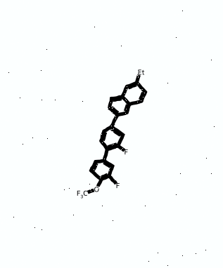 CCc1ccc2cc(-c3ccc(-c4ccc(OC(F)(F)F)c(F)c4)c(F)c3)ccc2c1